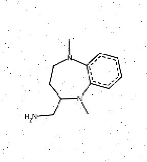 CN1CCC(CN)N(C)c2ccccc21